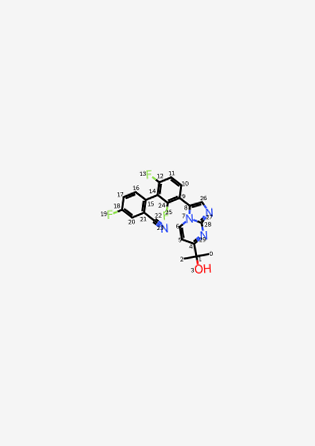 CC(C)(O)c1ccn2c(-c3ccc(F)c(-c4ccc(F)cc4C#N)c3F)cnc2n1